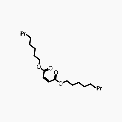 CC(C)CCCCCOC(=O)/C=C\C(=O)OCCCCCC(C)C